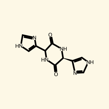 O=C1N[C@@H](c2c[nH]cn2)C(=O)NC1c1c[nH]cn1